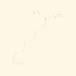 CCCCCCCCCCCC(=N)NC